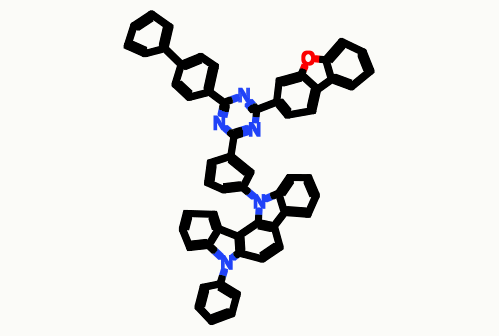 c1ccc(-c2ccc(-c3nc(-c4cccc(-n5c6ccccc6c6ccc7c(c8ccccc8n7-c7ccccc7)c65)c4)nc(-c4ccc5c(c4)oc4ccccc45)n3)cc2)cc1